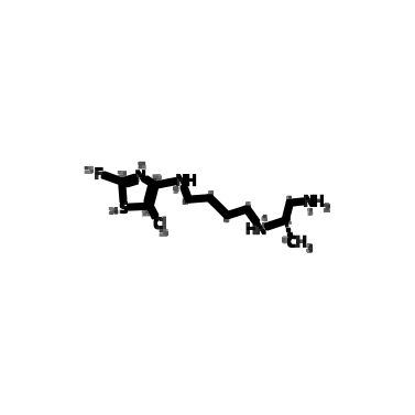 C[C@@H](CN)NCCCCNc1nc(F)sc1Cl